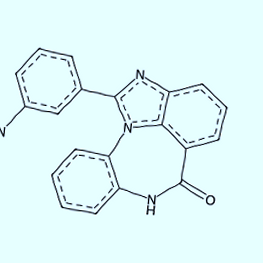 Nc1cccc(-c2nc3cccc4c3n2-c2ccccc2NC4=O)c1